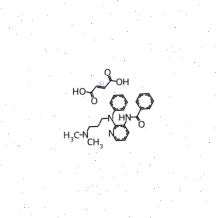 CN(C)CCCN(c1ccccc1)c1ncccc1NC(=O)c1ccccc1.O=C(O)/C=C/C(=O)O